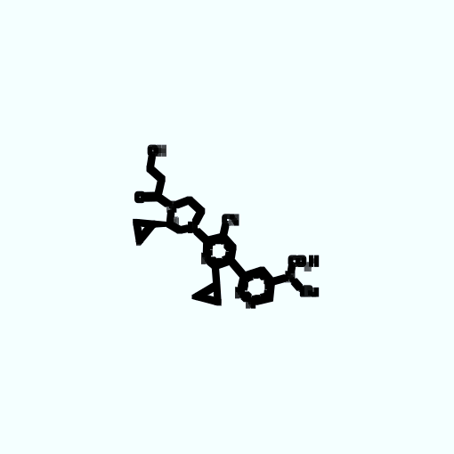 CC(C)(C)N(C(=O)O)c1cnnc(-c2cc(C#N)c(N3CCN(C(=O)CCO)[C@H](C4CC4)C3)nc2C2CC2)c1